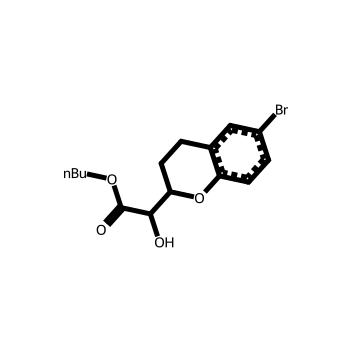 CCCCOC(=O)C(O)C1CCc2cc(Br)ccc2O1